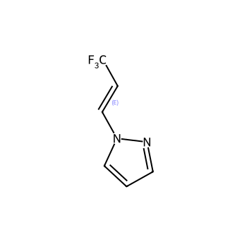 FC(F)(F)/C=C/n1cccn1